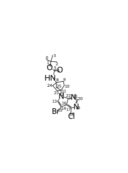 CC(C)(C)OC(=O)NC12CCC(n3cc(Br)c4c(Cl)ncnc43)(CC1)C2